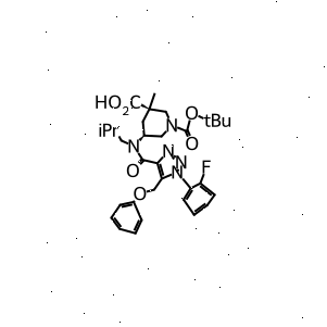 CC(C)CN(C(=O)c1nnn(-c2ccccc2F)c1COc1ccccc1)[C@@H]1CN(C(=O)OC(C)(C)C)C[C@](C)(C(=O)O)C1